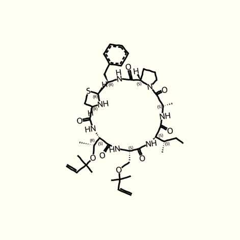 C=CC(C)(C)OC[C@@H]1NC(=O)[C@H]([C@@H](C)OC(C)(C)C=C)NC(=O)[C@@H]2CS[C@@H](N2)[C@@H](Cc2ccccc2)NC(=O)[C@@H]2CCCN2C(=O)[C@H](C)NC(=O)[C@H]([C@@H](C)CC)NC1=O